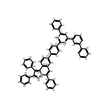 c1ccc(-c2cccc(-c3cc(-c4ccccc4)nc(-c4ccc(-c5ccc6c(c5)cc(-c5ccccc5)n5nc(-c7ccccc7)c(-c7ccccc7)c65)cc4)n3)c2)cc1